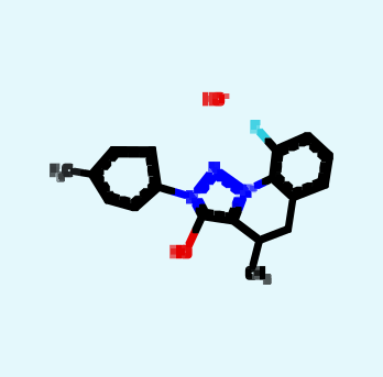 CC1Cc2cccc(F)c2-[n+]2nn(-c3ccc(C(F)(F)F)cc3)c(O)c21.[OH-]